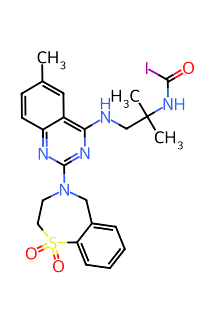 Cc1ccc2nc(N3CCS(=O)(=O)c4ccccc4C3)nc(NCC(C)(C)NC(=O)I)c2c1